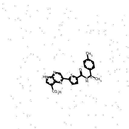 Cc1ccc([C@@H](C)NC(=O)c2ccc(-c3cnc4[nH]cc(C(=O)O)c4n3)s2)cc1